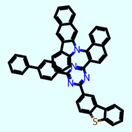 c1ccc(-c2ccc(-c3nc(-c4ccc5sc6ccccc6c5c4)nc(-c4ccc5ccccc5c4-n4c5ccccc5c5cc6ccccc6cc54)n3)cc2)cc1